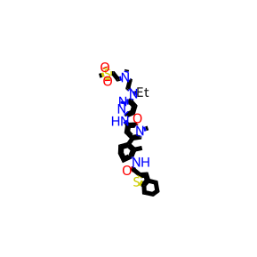 CCN(CCN(C)CCS(C)(=O)=O)c1ccc(Nc2cc(-c3cccc(NC(=O)c4cc5c(s4)CCCC5)c3C)cn(C)c2=O)nn1